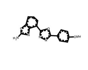 COc1ccc(-c2nnc(-c3cccc4sc(N)nc34)o2)cc1